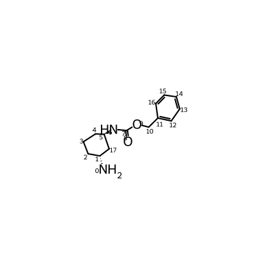 N[C@@H]1CCC[C@@H](NC(=O)OCc2ccccc2)C1